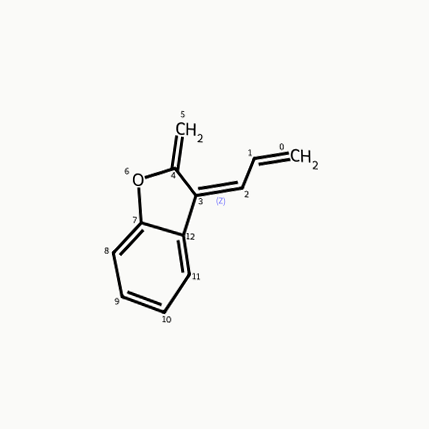 C=C/C=c1\c(=C)oc2ccccc12